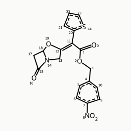 O=C(OCc1ccc([N+](=O)[O-])cc1)C(=C1CN2C(=O)CC2O1)c1cccs1